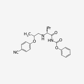 CC(CN[C@H](C(=O)NC(=O)Oc1ccccc1)C(C)C)Oc1ccc(C#N)cc1